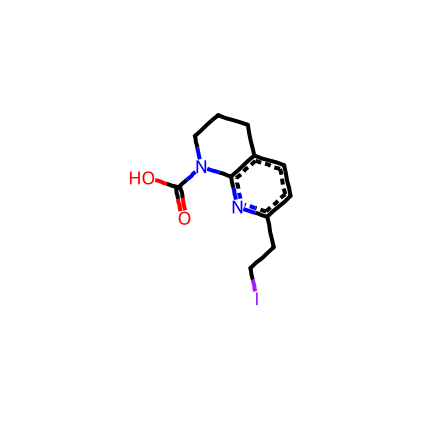 O=C(O)N1CCCc2ccc(CCI)nc21